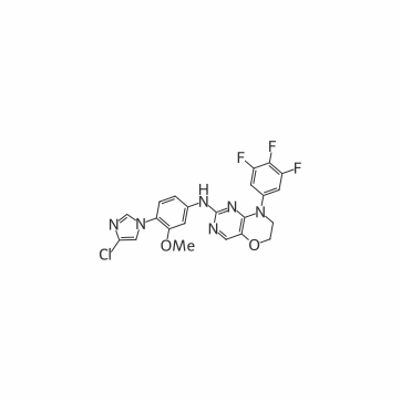 COc1cc(Nc2ncc3c(n2)N(c2cc(F)c(F)c(F)c2)CCO3)ccc1-n1cnc(Cl)c1